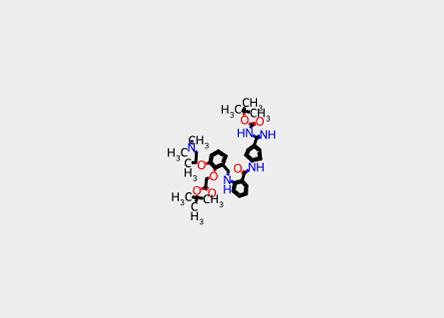 CC(CN(C)C)Oc1cccc(CNc2ccccc2C(=O)Nc2ccc(C(=N)NC(=O)OC(C)(C)C)cc2)c1OCC(=O)OC(C)(C)C